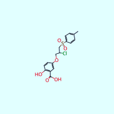 Cc1ccc(S(=O)(=O)CC(Cl)COc2ccc(O)c(C(=O)O)c2)cc1